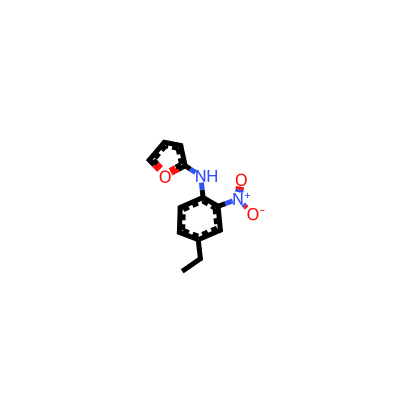 CCc1ccc(Nc2ccco2)c([N+](=O)[O-])c1